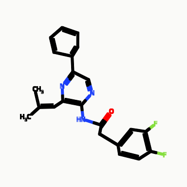 CC(C)=Cc1nc(-c2ccccc2)cnc1NC(=O)Cc1ccc(F)c(F)c1